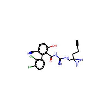 C#CCCC1(CNC(=N)NC(=O)c2c(O)ccc(C#N)c2-c2cccc(F)c2Cl)NN1